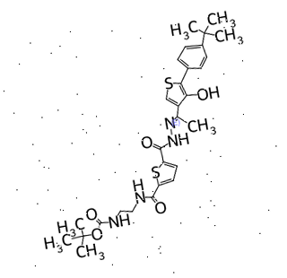 C/C(=N\NC(=O)c1ccc(C(=O)NCCNC(=O)OC(C)(C)C)s1)c1csc(-c2ccc(C(C)(C)C)cc2)c1O